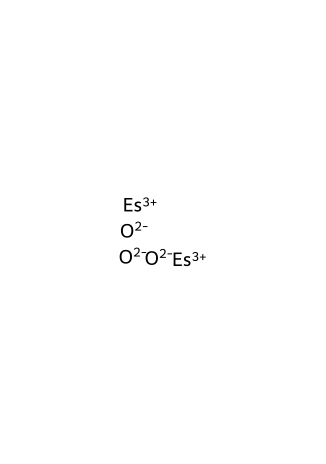 [Es+3].[Es+3].[O-2].[O-2].[O-2]